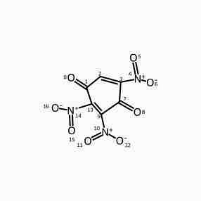 O=C1C=C([N+](=O)[O-])C(=O)C([N+](=O)[O-])=C1[N+](=O)[O-]